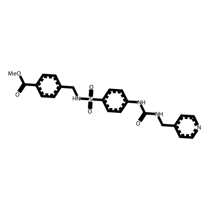 COC(=O)c1ccc(CNS(=O)(=O)c2ccc(NC(=O)NCc3ccncc3)cc2)cc1